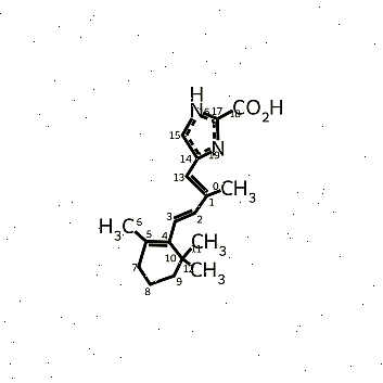 CC(C=CC1=C(C)CCCC1(C)C)=Cc1c[nH]c(C(=O)O)n1